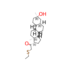 CCSCC(=O)[C@H]1CC[C@H]2[C@@H]3CC[C@@H]4C[C@](C)(O)CC[C@@H]4[C@H]3CC[C@]12C